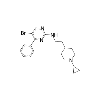 Brc1cnc(NCCC2CCN(C3CC3)CC2)nc1-c1ccccc1